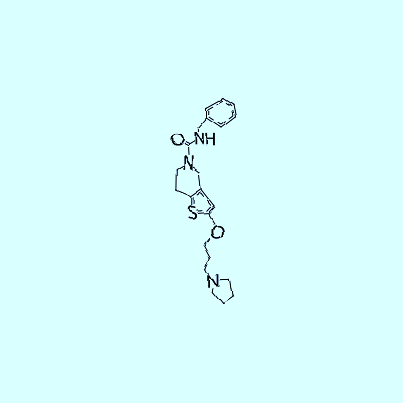 O=C(NCc1ccccc1)N1CCc2sc(OCCCN3CCCC3)cc2C1